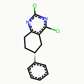 Clc1nc(Cl)c2c(n1)CC[C@@H](c1ccccc1)C2